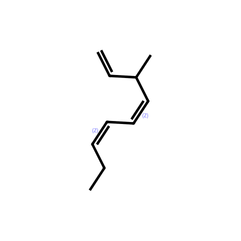 C=CC(C)/C=C\C=C/CC